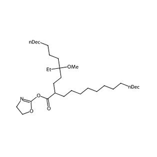 CCCCCCCCCCCCCCCCCCC(CCC(CC)(CCCCCCCCCCCCC)OC)C(=O)OC1=NCCO1